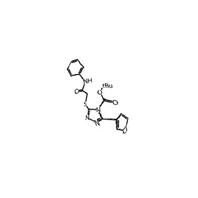 CC(C)(C)OC(=O)n1c(SCC(=O)Nc2ccccc2)nnc1-c1ccoc1